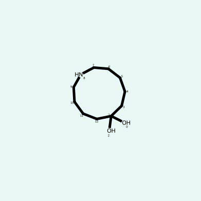 OC1(O)CCCCCNCCCC1